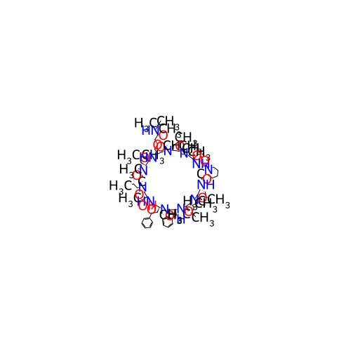 CCCN1CC(=O)N(C)[C@@H](CC(C)C)C(=O)N[C@@H](COCC(=O)NC(C)(C)C)C(=O)N(C)[C@@H](CC(C)C)C(=O)N(C)[C@@H](C)C(=O)N[C@H](C(=O)N2CCCCC2)CC(=O)N[C@H](CC(C)C)C(=O)N(C)[C@@H](CC(C)C)C(=O)N[C@@H](Cc2ccccc2)C(=O)N(C)[C@@H](CCc2ccccc2)C(=O)N[C@@H]([C@@H](C)O)C1=O